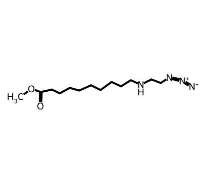 COC(=O)CCCCCCCCCNCCN=[N+]=[N-]